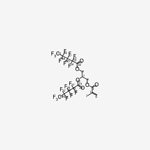 C=C(C)C(=O)OCC(COC(=O)C(F)(F)C(F)(F)C(F)(F)C(F)(F)F)OC(=O)C(F)(F)C(F)(F)C(F)(F)C(F)(F)F